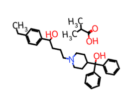 CC(C)C(=O)O.CCc1ccc(C(O)CCCN2CCC(C(O)(c3ccccc3)c3ccccc3)CC2)cc1